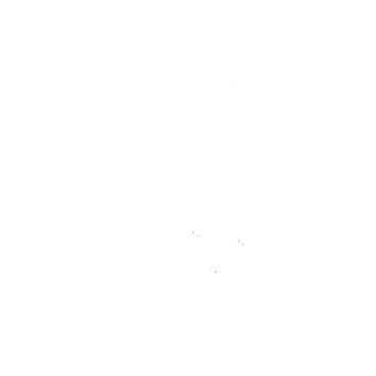 C1=CC2Oc3ccccc3C2C(c2nc(-c3ccccc3)nc(-c3ccc(-c4cccc5oc6c(-c7cccc8ccccc78)cccc6c45)c4ccccc34)n2)=C1